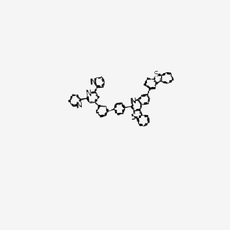 c1ccc(-c2cc(-c3cccc(-c4ccc(-c5nc6cc(-c7ccc8sc9ccccc9c8c7)ccc6c6c5sc5ccccc56)cc4)c3)cc(-c3ccccn3)n2)nc1